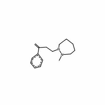 C=C(CCN1CCCCCN1C)c1ccccc1